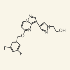 OCCn1cc(-c2cnn3ccc(OCc4cc(F)cc(F)c4)nc23)cn1